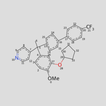 COc1ccc(C(C)(c2ccncc2)c2ccc(-c3ccc(C(F)(F)F)cc3)cc2)cc1OC1CCCC1